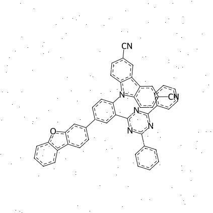 N#Cc1ccc2c(c1)c1cc(C#N)ccc1n2-c1ccc(-c2ccc3c(c2)oc2ccccc23)cc1-c1nc(-c2ccccc2)nc(-c2ccccc2)n1